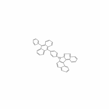 c1ccc(-c2c3ccccc3c(-c3ccc(-n4c5ccc6ccccc6c5c5c6ccccc6ccc54)cc3)c3ccccc23)cc1